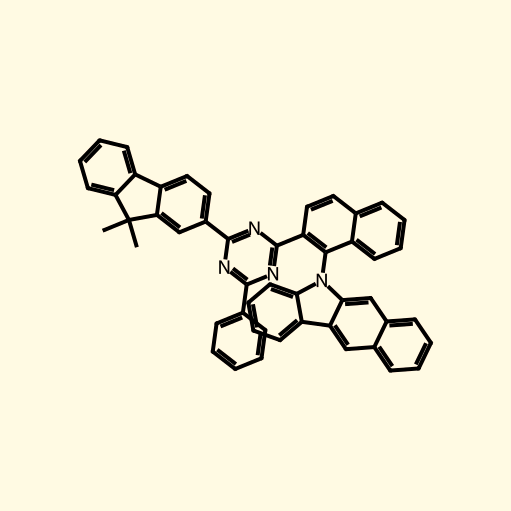 CC1(C)c2ccccc2-c2ccc(-c3nc(-c4ccccc4)nc(-c4ccc5ccccc5c4-n4c5ccccc5c5cc6ccccc6cc54)n3)cc21